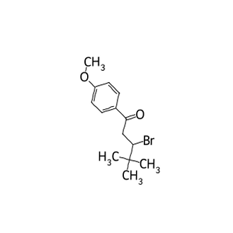 COc1ccc(C(=O)CC(Br)C(C)(C)C)cc1